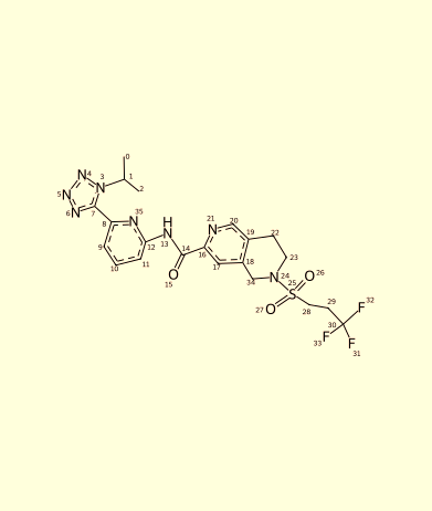 CC(C)n1nnnc1-c1cccc(NC(=O)c2cc3c(cn2)CCN(S(=O)(=O)CCC(F)(F)F)C3)n1